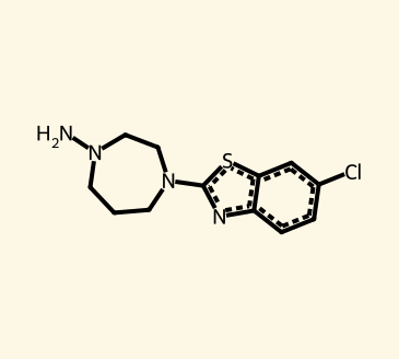 NN1CCCN(c2nc3ccc(Cl)cc3s2)CC1